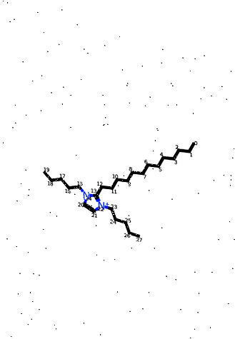 CCCCCCCCCCCCCc1n(CCCCC)cc[n+]1CCCCC